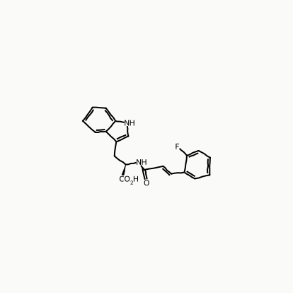 O=C(C=Cc1ccccc1F)N[C@H](Cc1c[nH]c2ccccc12)C(=O)O